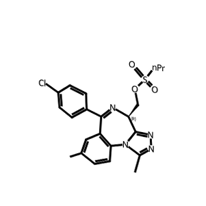 CCCS(=O)(=O)OC[C@@H]1N=C(c2ccc(Cl)cc2)c2cc(C)ccc2-n2c(C)nnc21